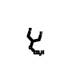 O=C(O)OC(CF)CF